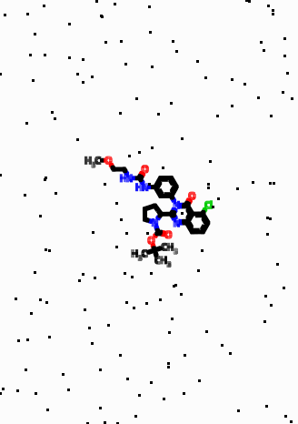 COCCNC(=O)Nc1cccc(-n2c(C3CCCN3C(=O)OC(C)(C)C)nc3cccc(Cl)c3c2=O)c1